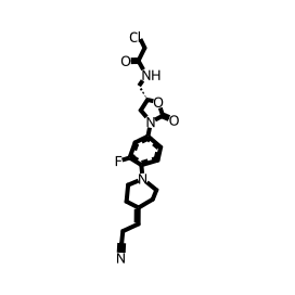 N#CCC=C1CCN(c2ccc(N3C[C@H](CNC(=O)CCl)OC3=O)cc2F)CC1